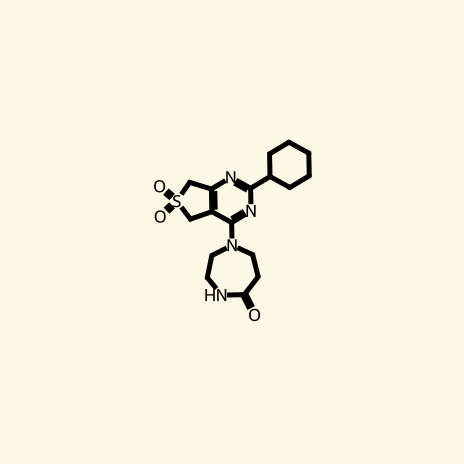 O=C1CCN(c2nc(C3CCCCC3)nc3c2CS(=O)(=O)C3)CCN1